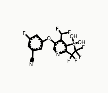 N#Cc1cc(F)cc(Oc2cnc3c(c2C(F)F)S(O)(O)C(F)(F)C3(F)F)c1